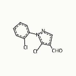 O=Cc1cnn(-c2ccccc2Cl)c1Cl